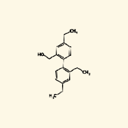 CCc1ccc(-c2ccc(CC)cc2CO)c(CC)c1